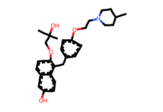 CC1CCN(CCOc2ccc(Cc3c(OCC(C)(C)O)ccc4cc(O)ccc34)cc2)CC1